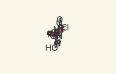 COCOc1cc(Cl)c(C(F)(F)F)c(-c2ncc3c(N4CC5CCC(C4)N5C(=O)O)nc(OC[C@]45CCCN4[C@H](CO)CC5)nc3c2F)c1